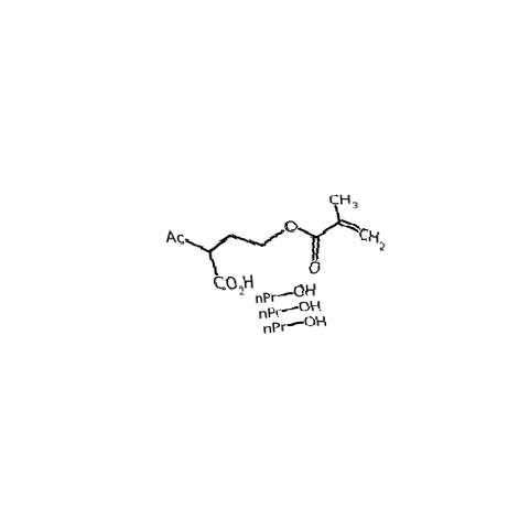 C=C(C)C(=O)OCCC(C(C)=O)C(=O)O.CCCO.CCCO.CCCO